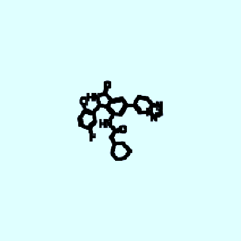 O=C(CC1CCCCC1)Nc1cc(-c2ccc3ncnn3c2)cc2c1C(c1cc(F)ccc1Cl)NC2=O